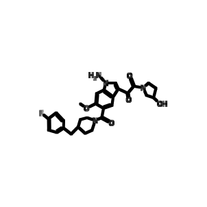 COc1cc2c(cc1C(=O)N1CCC(Cc3ccc(F)cc3)CC1)c(C(=O)C(=O)N1CCC(O)C1)cn2N